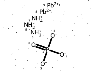 O=P([O-])([O-])[O-].[NH2-].[NH2-].[NH4+].[Pb+2].[Pb+2]